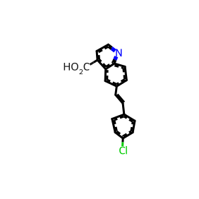 O=C(O)c1ccnc2ccc(/C=C/c3ccc(Cl)cc3)cc12